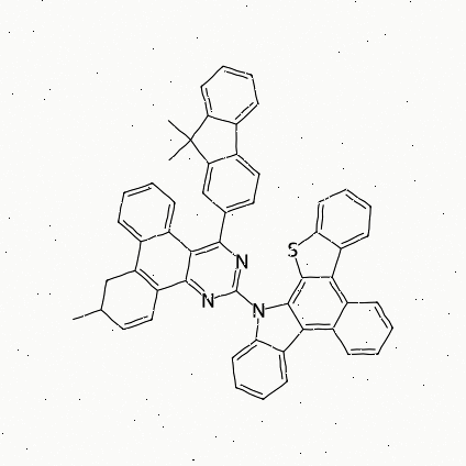 CC1C=Cc2c(c3ccccc3c3c(-c4ccc5c(c4)C(C)(C)c4ccccc4-5)nc(-n4c5ccccc5c5c6ccccc6c6c7ccccc7sc6c54)nc23)C1